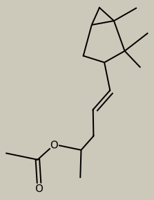 CC(=O)OC(C)CC=CC1CC2CC2(C)C1(C)C